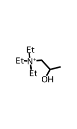 [CH2]C[N+](CC)(CC)CC(C)O